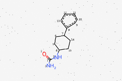 NC(=O)NC1CCC(c2ccccc2)CC1